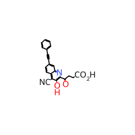 N#Cc1c(O)c(C(=O)CCC(=O)O)nc2cc(C#Cc3ccccc3)ccc12